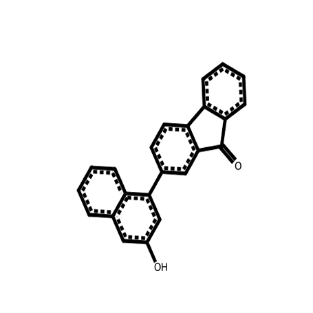 O=C1c2ccccc2-c2ccc(-c3cc(O)cc4ccccc34)cc21